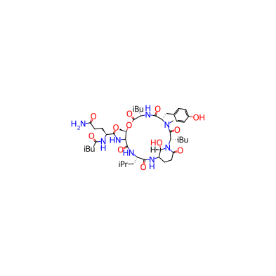 CCC(C)C(=O)N[C@@H](CCC(N)=O)C(=O)NC1C(=O)N[C@@H](CC(C)C)C(=O)NC2CCC(=O)N([C@@H](C(C)CC)C(=O)N(C)[C@@H](Cc3ccc(O)cc3)C(=O)N[C@@H](C(C)CC)C(=O)O[C@@H]1C)[C@H]2O